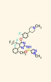 Cc1ccccc1-c1nc(N[S+]([O-])c2cnn(C)c2)nc(Oc2ccc(C3CCN(C)CC3)cc2F)c1C(F)(F)C(F)(F)F